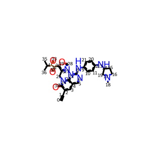 C#Cc1cc2cnc(Nc3ccc(NC4CCN(C)C4)cc3)nc2n(Cc2ncoc2S(=O)(=O)C(C)C)c1=O